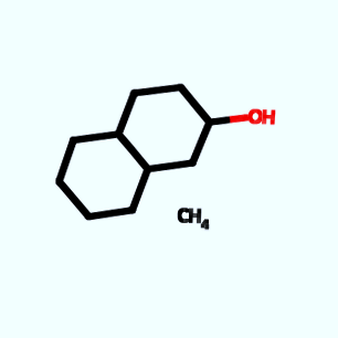 C.OC1CCC2CCCCC2C1